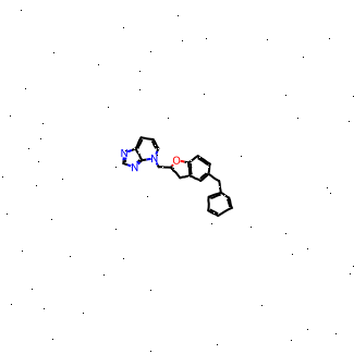 c1ccc(Cc2ccc3c(c2)CC(Cn2cccc4ncnc2-4)O3)cc1